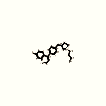 Cc1ccc2c(c1)SCC=C2c1ccc(CC2CCN(CCCF)C2)cc1